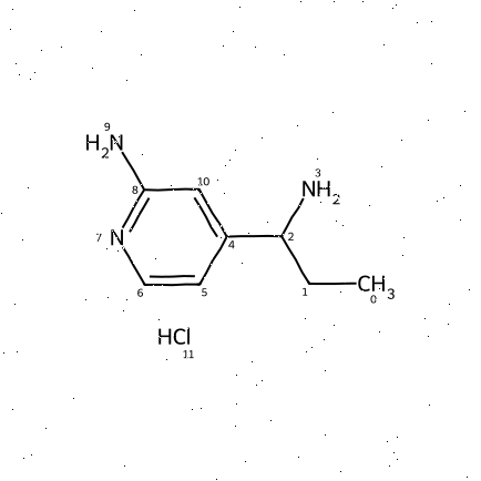 CCC(N)c1ccnc(N)c1.Cl